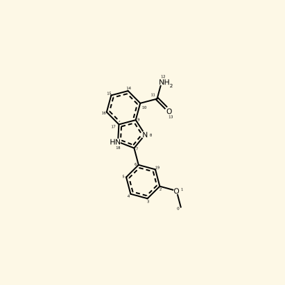 COc1cccc(-c2nc3c(C(N)=O)cccc3[nH]2)c1